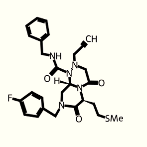 C#CCN1CC(=O)N2[C@@H](CCSC)C(=O)N(Cc3ccc(F)cc3)C[C@@H]2N1C(=O)NCc1ccccc1